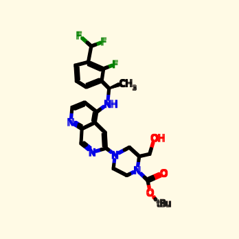 C[C@@H](Nc1ccnc2cnc(N3CCN(C(=O)OC(C)(C)C)C(CO)C3)cc12)c1cccc(C(F)F)c1F